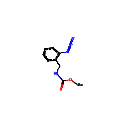 CC(C)(C)OC(=O)NCc1ccccc1N=[N+]=[N-]